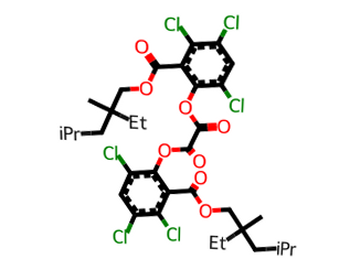 CCC(C)(COC(=O)c1c(Cl)c(Cl)cc(Cl)c1OC(=O)C(=O)Oc1c(Cl)cc(Cl)c(Cl)c1C(=O)OCC(C)(CC)CC(C)C)CC(C)C